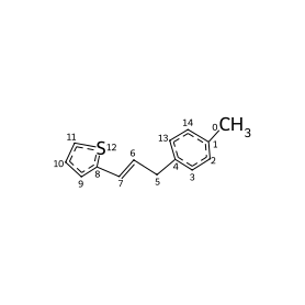 Cc1ccc(CC=Cc2cccs2)cc1